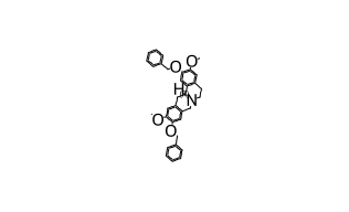 COc1cc2c(cc1OCc1ccccc1)CN1CCc3cc(OC)c(OCc4ccccc4)cc3[C@H]1C2